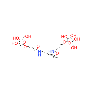 CC(=O)[C@@H](CCCCNC(=O)CCCCOC1OC(CO)C(O)C(O)C1C)NC(=O)CCCCOC1OC(CO)C(O)C(O)C1O